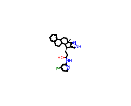 C[C@]12CCC3c4ccccc4CCC3C1[C@H](CCC(O)Nc1cc(F)ccn1)c1c[nH]nc12